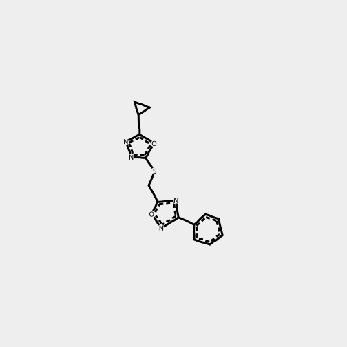 c1ccc(-c2noc(CSc3nnc(C4CC4)o3)n2)cc1